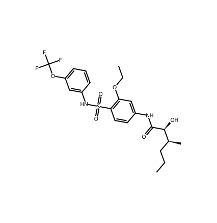 CCC[C@H](C)[C@H](O)C(=O)Nc1ccc(S(=O)(=O)Nc2cccc(OC(F)(F)F)c2)c(OCC)c1